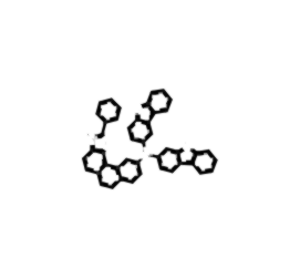 c1ccc(-c2nc3ccc4ccc5ccc(N(c6ccc7c(c6)sc6ccccc67)c6ccc7sc8ccccc8c7c6)cc5c4c3o2)cc1